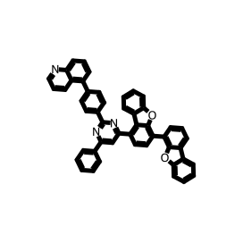 c1ccc(-c2cc(-c3ccc(-c4cccc5c4oc4ccccc45)c4oc5ccccc5c34)nc(-c3ccc(-c4cccc5ncccc45)cc3)n2)cc1